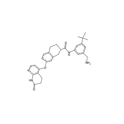 CC(C)(C)c1cc(CN)cc(NC(=O)C2CCc3ccc(Oc4ccnc5c4CCC(=O)N5)cc3C2)c1